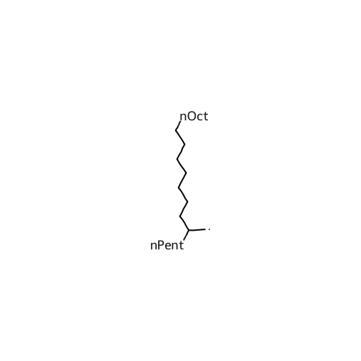 [CH2]C(CCCCC)CCCCCCCCCCCCCCC